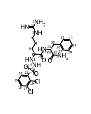 N=C(N)NCCC[C@H](NNS(=O)(=O)c1cccc(Cl)c1Cl)C(=O)N[C@@H](Cc1ccccc1)C(N)=O